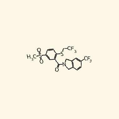 CS(=O)(=O)c1ccc(SCC(F)(F)F)c(C(=O)N2Cc3ccc(C(F)(F)F)cc3C2)c1